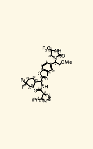 COCC(c1ccc2oc(C(NC(=O)c3nonc3C(C)C)C3CCC(F)(F)CC3)nc2c1)N1CC(C(F)(F)F)NC1=O